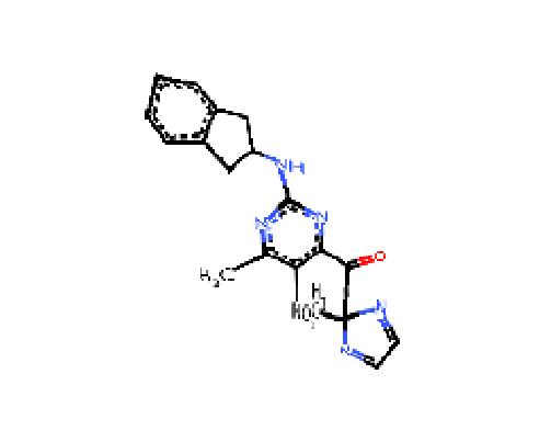 Cc1nc(NC2Cc3ccccc3C2)nc(C(=O)C2(C)N=CC=N2)c1[N+](=O)[O-]